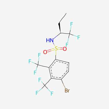 CC[C@H](NS(=O)(=O)c1ccc(Br)c(C(F)(F)F)c1C(F)(F)F)C(F)(F)F